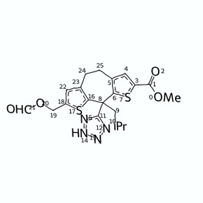 COC(=O)c1cc2c(s1)C(CC(C)C)(c1nn[nH]n1)c1sc(COC=O)cc1CC2